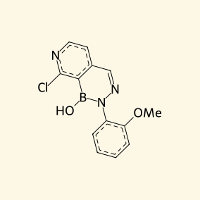 COc1ccccc1N1N=Cc2ccnc(Cl)c2B1O